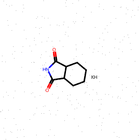 O=C1NC(=O)C2CCCCC12.[KH]